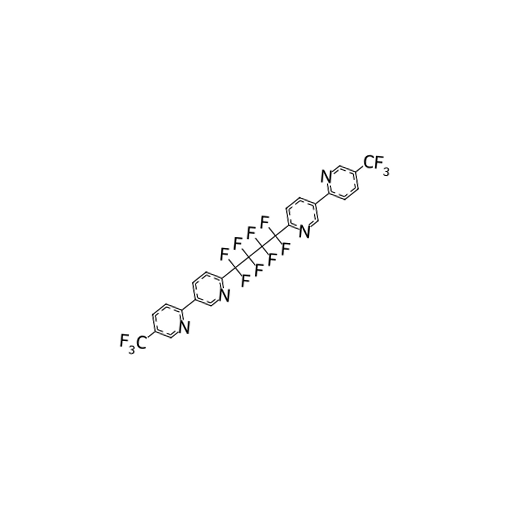 FC(F)(F)c1ccc(-c2ccc(C(F)(F)C(F)(F)C(F)(F)C(F)(F)c3ccc(-c4ccc(C(F)(F)F)cn4)cn3)nc2)nc1